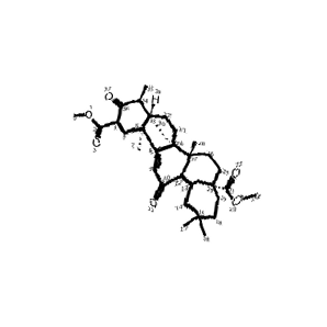 COC(=O)C1C[C@]2(C)C3=CC(=O)C4C5CC(C)(C)CC[C@]5(C(=O)OC)CC[C@@]4(C)[C@]3(C)CC[C@H]2[C@H](C)C1=O